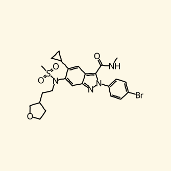 CNC(=O)c1c2cc(C3CC3)c(N(CCC3CCOC3)S(C)(=O)=O)cc2nn1-c1ccc(Br)cc1